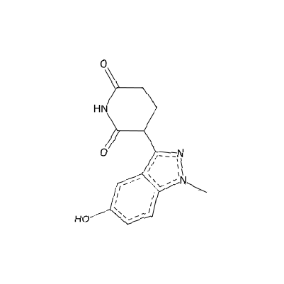 Cn1nc(C2CCC(=O)NC2=O)c2cc(O)ccc21